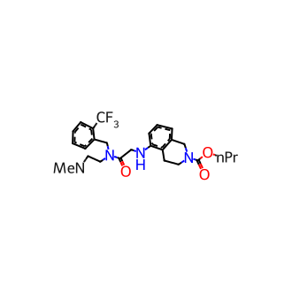 CCCOC(=O)N1CCc2c(cccc2NCC(=O)N(CCNC)Cc2ccccc2C(F)(F)F)C1